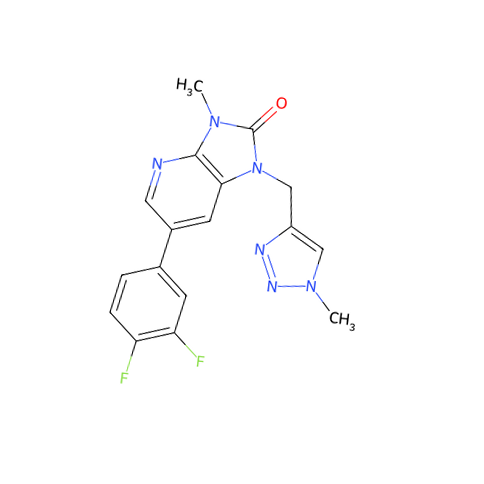 Cn1cc(Cn2c(=O)n(C)c3ncc(-c4ccc(F)c(F)c4)cc32)nn1